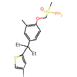 CCC(CC)(c1ccc(OC[SH](C)(=O)P)c(C)c1)c1cc(C)cs1